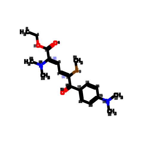 CCOC(=O)/C(=C/C=C(\SC)C(=O)c1ccc(N(C)C)cc1)N(C)C